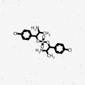 CC(N)C(OS(=O)(=O)OC(c1ccc(Cl)cc1)C(C)N)c1ccc(Cl)cc1